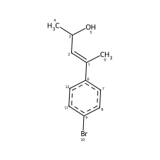 CC(=CC(C)O)c1ccc(Br)cc1